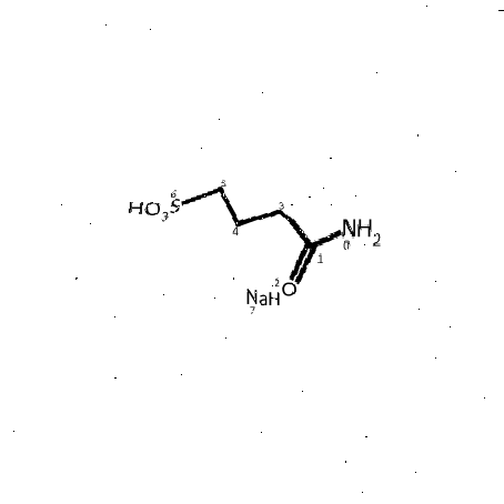 NC(=O)CCCS(=O)(=O)O.[NaH]